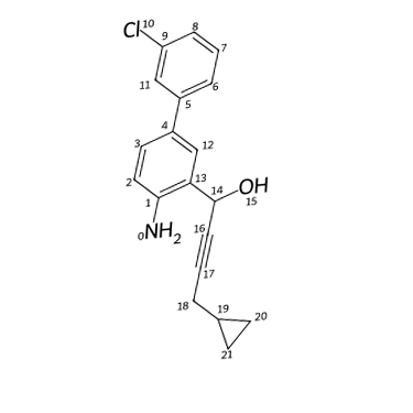 Nc1ccc(-c2cccc(Cl)c2)cc1C(O)C#CCC1CC1